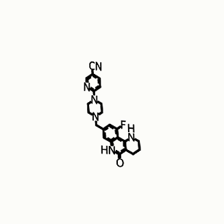 N#Cc1ccc(N2CCN(Cc3cc(F)c4c5c(c(=O)[nH]c4c3)CCCN5)CC2)nc1